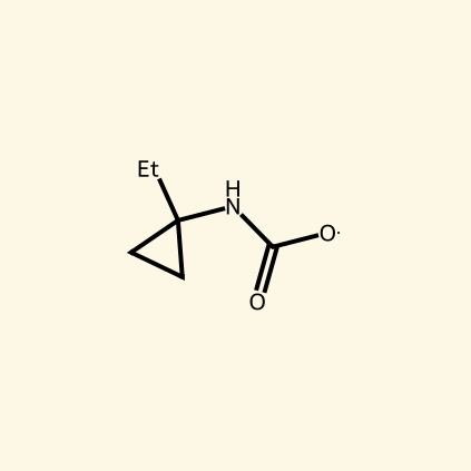 CCC1(NC([O])=O)CC1